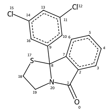 O=C1c2ccccc2C2(c3cc(Cl)cc(Cl)c3)SCCN12